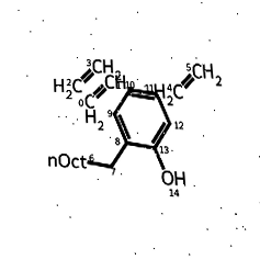 C=C.C=C.C=C.CCCCCCCCCc1ccccc1O